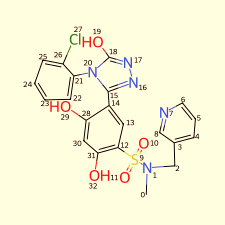 CN(Cc1cccnc1)S(=O)(=O)c1cc(-c2nnc(O)n2-c2ccccc2Cl)c(O)cc1O